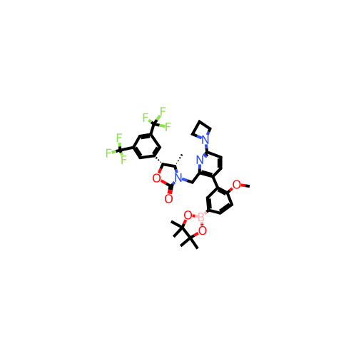 COc1ccc(B2OC(C)(C)C(C)(C)O2)cc1-c1ccc(N2CCC2)nc1CN1C(=O)O[C@H](c2cc(C(F)(F)F)cc(C(F)(F)F)c2)[C@@H]1C